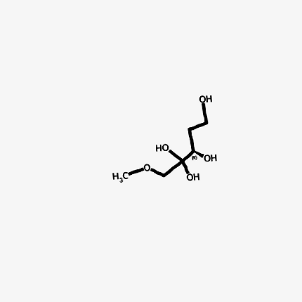 COCC(O)(O)[C@H](O)CCO